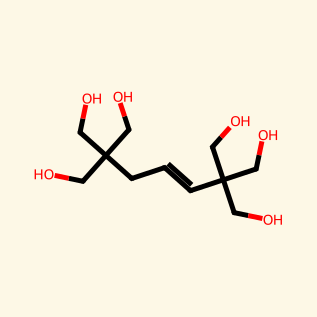 OCC(/C=C/CC(CO)(CO)CO)(CO)CO